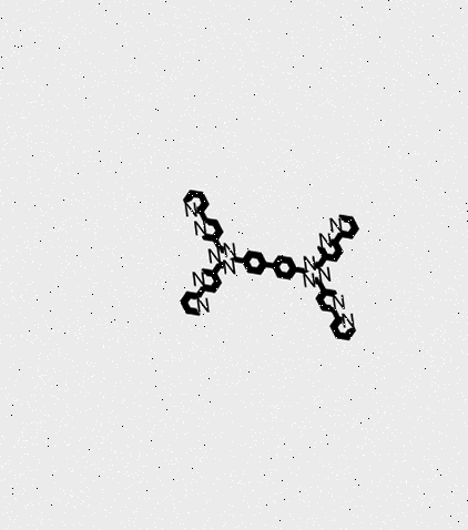 c1ccc(-c2ccc(-c3nc(-c4ccc(-c5ccc(-c6nc(-c7ccc(-c8ccccn8)nc7)nc(-c7ccc(-c8ccccn8)nc7)n6)cc5)cc4)nc(-c4ccc(-c5ccccn5)nc4)n3)cn2)nc1